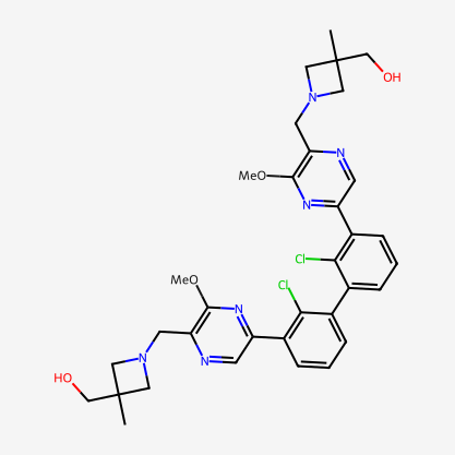 COc1nc(-c2cccc(-c3cccc(-c4cnc(CN5CC(C)(CO)C5)c(OC)n4)c3Cl)c2Cl)cnc1CN1CC(C)(CO)C1